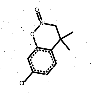 CC1(C)C[N+](=O)Oc2cc(Cl)ccc21